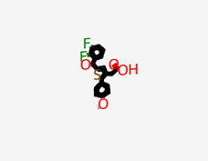 COc1ccc(-c2sc(C(=O)c3cccc(F)c3F)cc2CC(=O)O)cc1